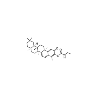 CCNC(=O)OC1=C(C)C2=CC=C3[C@@](C)(CC[C@@]4(C)[C@@H]5CC(C)(C)CC[C@]5(C)CC[C@]34C)C2=CC1=O